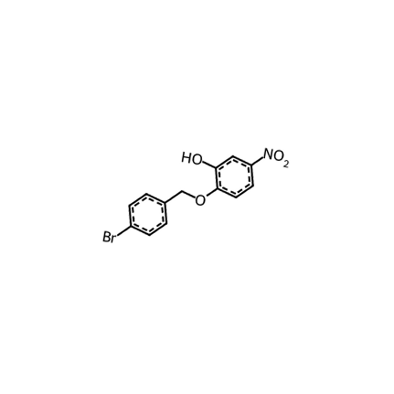 O=[N+]([O-])c1ccc(OCc2ccc(Br)cc2)c(O)c1